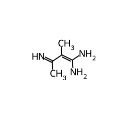 CC(=N)C(C)=C(N)N